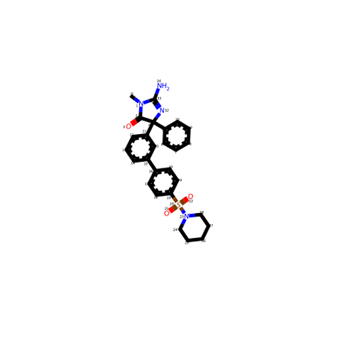 CN1C(=O)C(c2ccccc2)(c2cccc(-c3ccc(S(=O)(=O)N4CCCCC4)cc3)c2)N=C1N